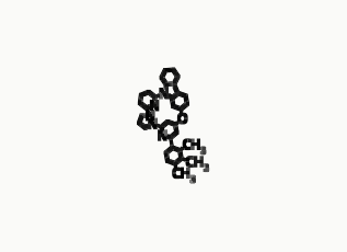 Cc1ccc(-c2cc(Oc3ccc4c5ccccc5n(-c5ccccn5)c4c3)cc(-n3cccn3)n2)c(C)c1C